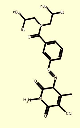 CCCCC(CC)CN(CC(CC)CCCC)C(=O)c1cccc(/N=N/C2C(=O)N(N)C(=O)C(C#N)=C2C)c1